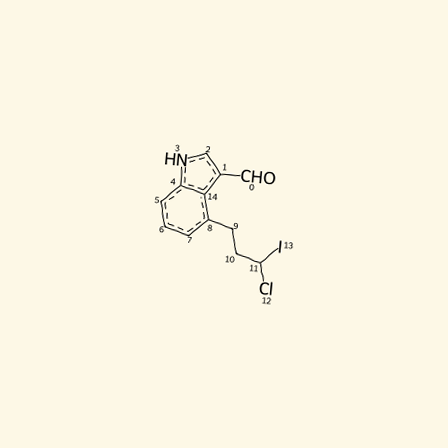 O=Cc1c[nH]c2cccc(CCC(Cl)I)c12